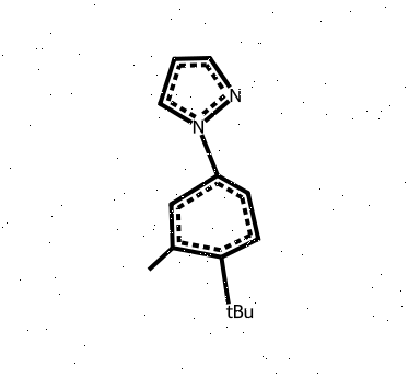 Cc1cc(-n2cccn2)ccc1C(C)(C)C